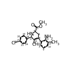 COC(=O)C1CC(c2cccc(C)c2N)=C(C)C(c2ccc(Cl)cc2)N1